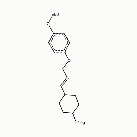 CCCCCC1CCC(C=CCOc2ccc(OCCCC)cc2)CC1